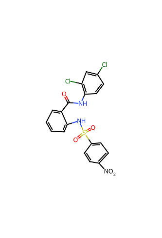 O=C(Nc1ccc(Cl)cc1Cl)c1ccccc1NS(=O)(=O)c1ccc([N+](=O)[O-])cc1